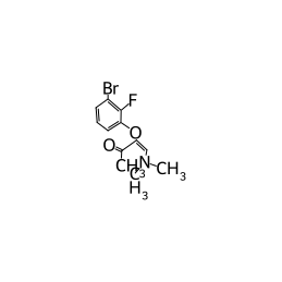 CC(=O)C(=CN(C)C)Oc1cccc(Br)c1F